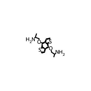 CC(N)COc1c2ccsc2c(OCC(C)N)c2ccsc12